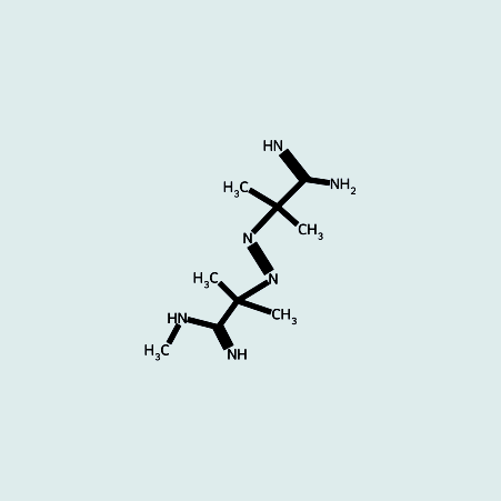 CNC(=N)C(C)(C)N=NC(C)(C)C(=N)N